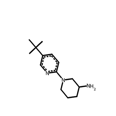 CC(C)(C)c1ccc(N2CCCC(N)C2)nc1